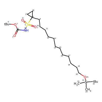 CC(C)(C)OC(=O)NS(=O)(=O)C1(CCCCCCCCCCCCO[Si](C)(C)C(C)(C)C)CC1